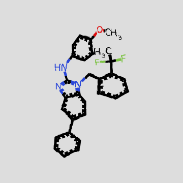 COc1ccc(Nc2nc3cc(-c4ccccc4)ccc3n2Cc2ccccc2C(C)(F)F)cc1